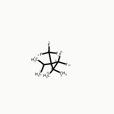 CC(C)C1(C(F)(F)F)C(C)(C)C1(F)F